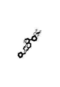 FC(F)(F)Oc1cccc(-c2ccnc3c2CCC2CN(Cc4ccccc4)CCN32)c1